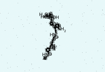 CP(=O)(O)OP(=O)(O)OP(=O)(O)OC[C@@H]1CC[C@H](n2cc(C#CCNC(=O)COCCOC(COc3cccc(C(=O)NCC4CCC4)c3)N=[N+]=[N-])c3c(N)ncnc32)O1